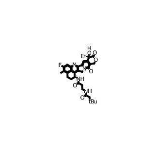 CC[C@@]1(O)C(=O)OCc2c1cc1n(c2=O)Cc2c-1nc1cc(F)c(C)c3c1c2[C@@H](NC(=O)CCNC(=O)CC(C)(C)C)CC3